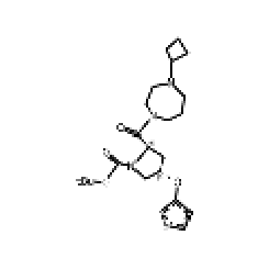 CC(C)(C)OC(=O)N1C[C@@H](Oc2ccsc2)C[C@@H]1C(=O)N1CCCN(C2CCC2)CC1